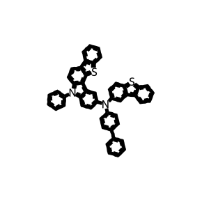 c1ccc(-c2ccc(N(c3ccc4sc5ccccc5c4c3)c3ccc4c(c3)c3c5sc6ccccc6c5ccc3n4-c3ccccc3)cc2)cc1